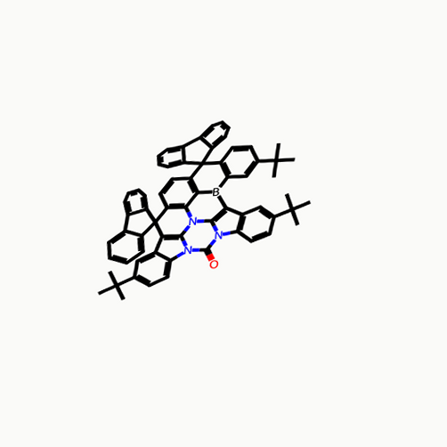 CC(C)(C)c1ccc2c(c1)B1c3c(ccc4c3-n3c5c1c1cc(C(C)(C)C)ccc1n5c(=O)n1c5ccc(C(C)(C)C)cc5c(c31)C41c3ccccc3-c3ccccc31)C21c2ccccc2-c2ccccc21